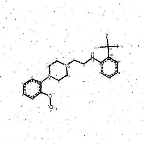 COc1ccccc1N1CCN(CCNc2ccccc2C(F)(F)F)CC1